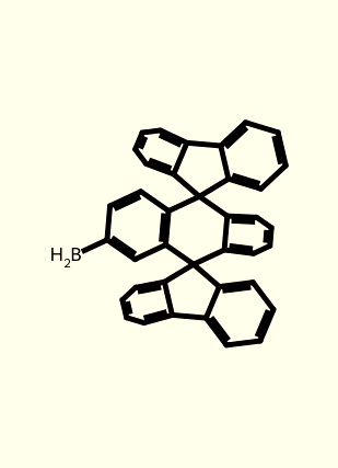 Bc1ccc2c(c1)C1(c3ccccc3-c3ccccc31)c1ccccc1C21c2ccccc2-c2ccccc21